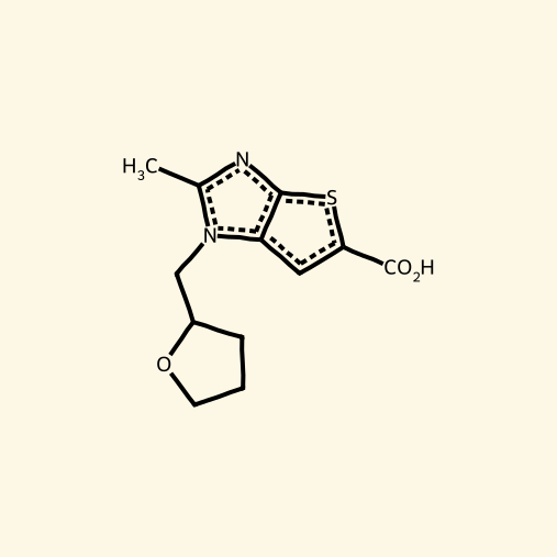 Cc1nc2sc(C(=O)O)cc2n1CC1CCCO1